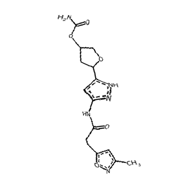 Cc1cc(CC(=O)Nc2cc(C3CC(OC(N)=O)CO3)[nH]n2)on1